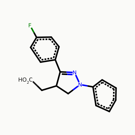 O=C(O)CC1CN(c2ccccc2)N=C1c1ccc(F)cc1